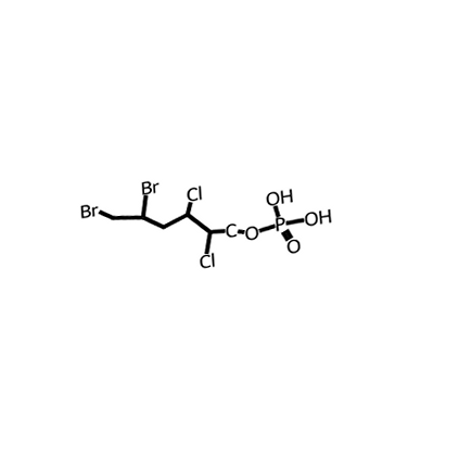 O=P(O)(O)OCC(Cl)C(Cl)CC(Br)CBr